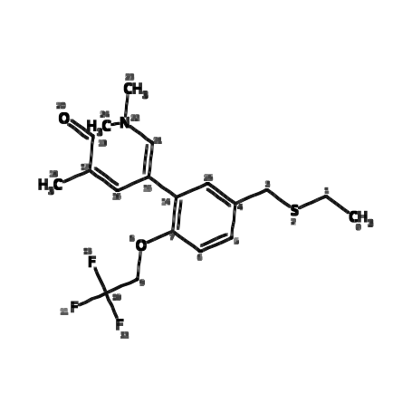 CCSCc1ccc(OCC(F)(F)F)c(C(/C=C(/C)C=O)=C/N(C)C)c1